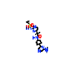 CN(C)c1cncc(-c2ccc(NC(=O)C(C)(C)c3ccnc(NS(=O)(=O)C4CC4)n3)cc2)n1